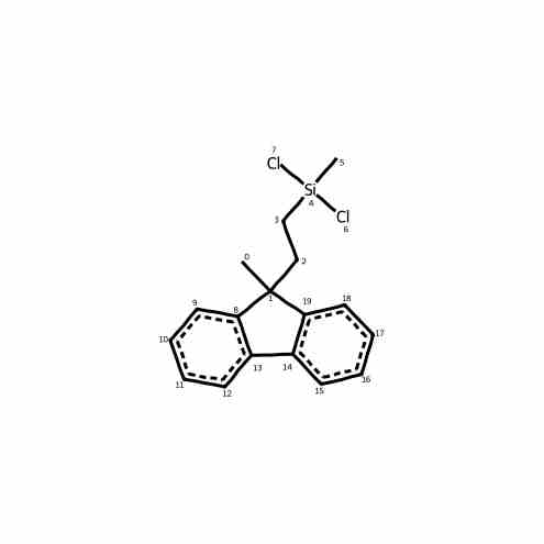 CC1(CC[Si](C)(Cl)Cl)c2ccccc2-c2ccccc21